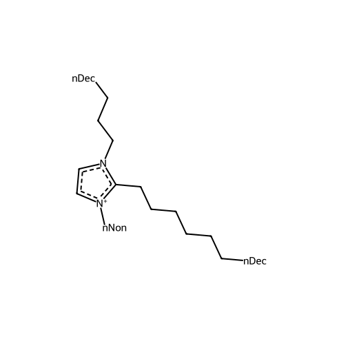 CCCCCCCCCCCCCCCCc1n(CCCCCCCCCCCCC)cc[n+]1CCCCCCCCC